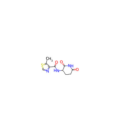 Cc1scnc1C(=O)NC1CCC(=O)NC1=O